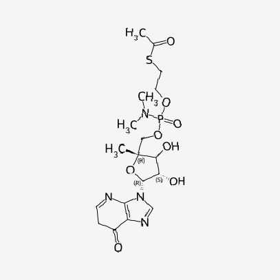 CC(=O)SCCOP(=O)(OC[C@@]1(C)O[C@@H](n2cnc3c2N=CCC3=O)[C@@H](O)C1O)N(C)C